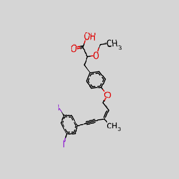 CCOC(Cc1ccc(OCC=C(C)C#Cc2cc(I)cc(I)c2)cc1)C(=O)O